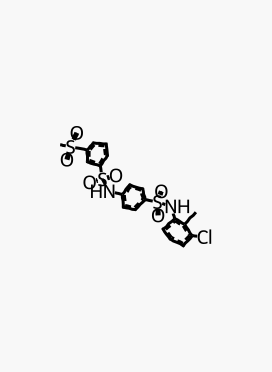 Cc1c(Cl)cccc1NS(=O)(=O)c1ccc(NS(=O)(=O)c2cccc(S(C)(=O)=O)c2)cc1